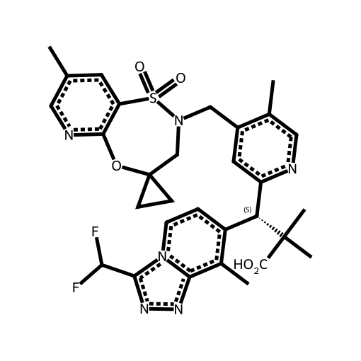 Cc1cnc2c(c1)S(=O)(=O)N(Cc1cc([C@@H](c3ccn4c(C(F)F)nnc4c3C)C(C)(C)C(=O)O)ncc1C)CC1(CC1)O2